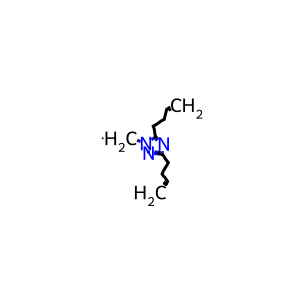 [CH2]n1nc(CCC=C)nc1CCC=C